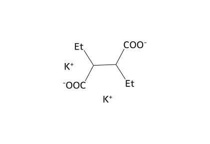 CCC(C(=O)[O-])C(CC)C(=O)[O-].[K+].[K+]